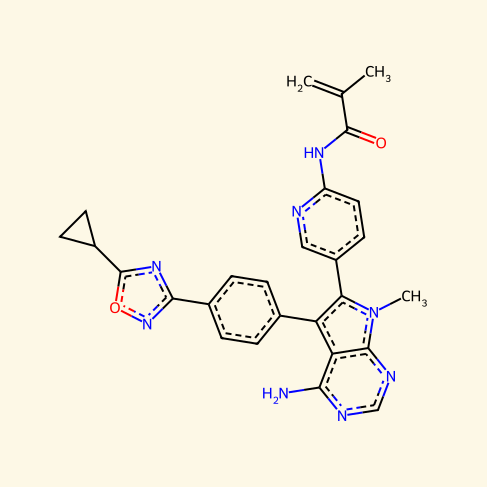 C=C(C)C(=O)Nc1ccc(-c2c(-c3ccc(-c4noc(C5CC5)n4)cc3)c3c(N)ncnc3n2C)cn1